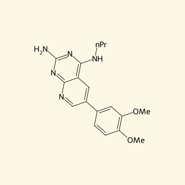 CCCNc1nc(N)nc2ncc(-c3ccc(OC)c(OC)c3)cc12